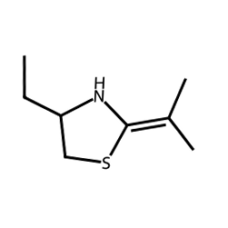 CCC1CSC(=C(C)C)N1